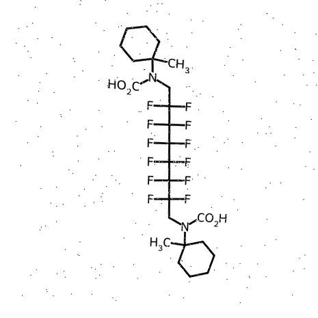 CC1(N(CC(F)(F)C(F)(F)C(F)(F)C(F)(F)C(F)(F)C(F)(F)CN(C(=O)O)C2(C)CCCCC2)C(=O)O)CCCCC1